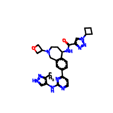 Cc1n[nH]cc1Nc1nccc(-c2ccc3c(c2)CN(C2COC2)CC[C@H]3NC(=O)c2cn(C3CCC3)nn2)n1